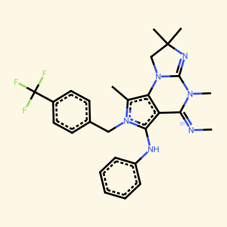 C/N=C1/c2c(c(C)n(Cc3ccc(C(F)(F)F)cc3)c2Nc2ccccc2)N2CC(C)(C)N=C2N1C